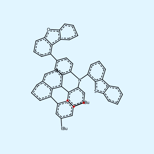 CC(C)(C)c1cc(-c2cccc3cccc(-c4ccccc4N(c4ccc(-c5cccc6oc7ccccc7c56)cc4)c4cccc5c4sc4ccccc45)c23)cc(C(C)(C)C)c1